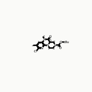 Cc1cc2c(nc1Cl)N1CCN(C(=O)OC(C)(C)C)CC1C(=O)N2C